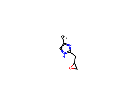 Cc1c[nH]c(CC2CO2)n1